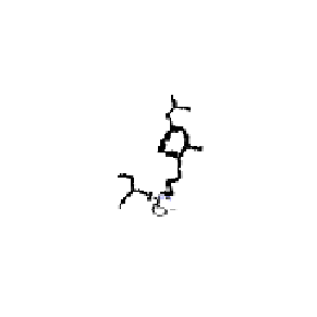 CCC(C)/[N+]([O-])=C\CCc1ccc(CC(C)C)cc1C